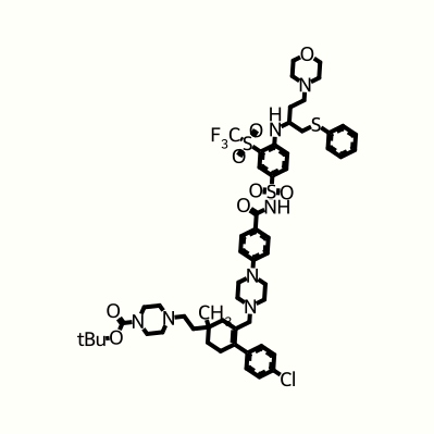 CC1(CCN2CCN(C(=O)OC(C)(C)C)CC2)CCC(c2ccc(Cl)cc2)=C(CN2CCN(c3ccc(C(=O)NS(=O)(=O)c4ccc(NC(CCN5CCOCC5)CSc5ccccc5)c(S(=O)(=O)C(F)(F)F)c4)cc3)CC2)C1